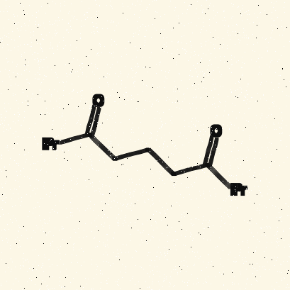 CC(C)C(=O)CCCC(=O)C(C)C